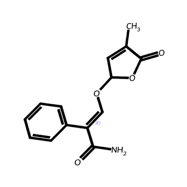 CC1=CC(O/C=C(/C(N)=O)c2ccccc2)OC1=O